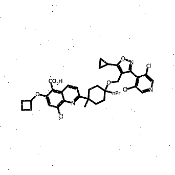 CCCC1(OCc2c(-c3c(Cl)cncc3Cl)noc2C2CC2)CCC(C)(c2ccc3c(C(=O)O)c(OC4CCC4)cc(Cl)c3n2)CC1